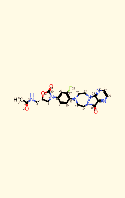 CC(=O)NC[C@H]1CN(c2ccc(N3CCn4c(=O)c5nccnc5n4CC3)c(F)c2)C(=O)O1